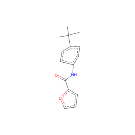 CC(C)(C)c1ccc(NC(=O)c2ccco2)cc1